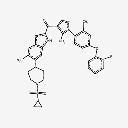 Cc1cc2cc(C(=O)c3cnn(-c4ccc(Oc5ccccc5F)cc4C)c3N)[nH]c2cc1C1CCN(S(=O)(=O)C2CC2)CC1